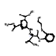 COC(=O)c1cc(N/N=C(/C(C)=O)C(=O)Nc2ccccc2OCCO)cc(C(=O)OC)c1